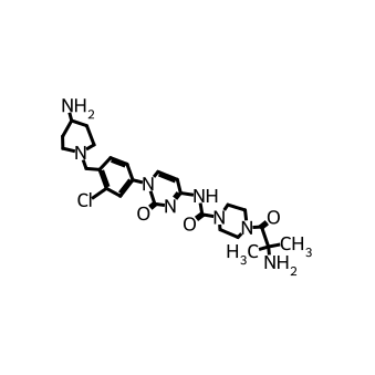 CC(C)(N)C(=O)N1CCN(C(=O)Nc2ccn(-c3ccc(CN4CCC(N)CC4)c(Cl)c3)c(=O)n2)CC1